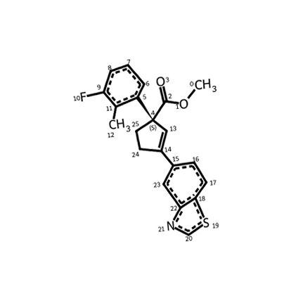 COC(=O)[C@]1(c2cccc(F)c2C)C=C(c2ccc3scnc3c2)CC1